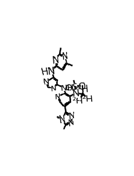 [2H]C([2H])([2H])N(c1cc(-c2nnc(C)n2C)cnc1Nc1cc(Nc2cc(C)nc(C)n2)ncn1)S(C)(=O)=O